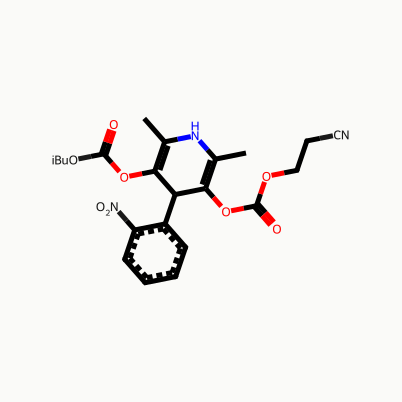 CC1=C(OC(=O)OCCC#N)C(c2ccccc2[N+](=O)[O-])C(OC(=O)OCC(C)C)=C(C)N1